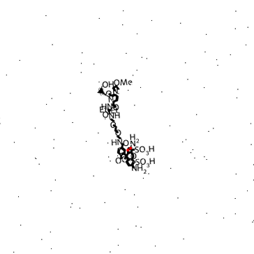 CCC(CC)(NC(=O)c1ccc(N2CC(OC)C2)c(OC[C@H]2C[C@@H]2CO)n1)C(=O)NCCOCCOCCNC(=O)c1ccc2c(c1)C1(OC2=O)c2ccc(N)c(S(=O)(=O)O)c2Oc2c1ccc(N)c2S(=O)(=O)O